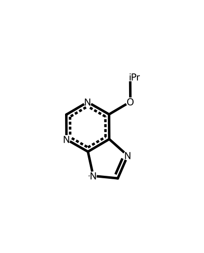 CC(C)Oc1ncnc2c1N=C[N]2